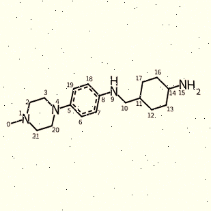 CN1CCN(c2ccc(NCC3CCC(N)CC3)cc2)CC1